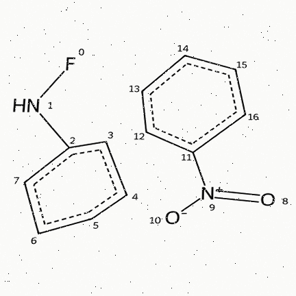 FNc1ccccc1.O=[N+]([O-])c1ccccc1